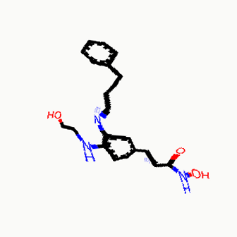 O=C(/C=C/c1ccc(NCCO)c(/N=C/CCc2ccccc2)c1)NO